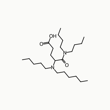 CCCCCCN(CCCCC)C(CCC(=O)O)C(=O)N(CCCC)CCCC